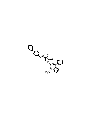 CC(NC(=O)Cc1ccc(-c2ccccc2)cc1)C(=O)N[C@@H]1CN(C)c2ccccc2C(c2ccccc2)=N1